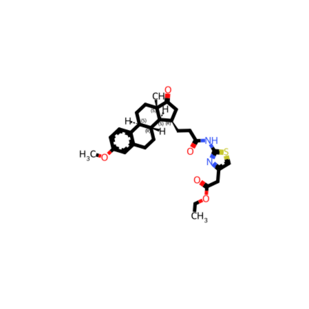 CCOC(=O)Cc1csc(NC(=O)CC[C@@H]2CC(=O)[C@@]3(C)CC[C@@H]4c5ccc(OC)cc5CC[C@H]4[C@H]23)n1